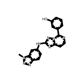 Cn1nnc2ccc(Nc3nc4ccnc(-c5cccc(O)c5)n4n3)cc21